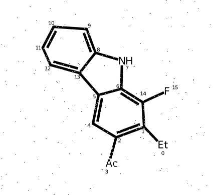 CCc1c(C(C)=O)cc2c([nH]c3ccccc32)c1F